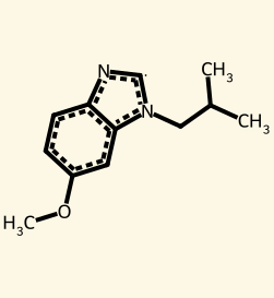 COc1ccc2n[c]n(CC(C)C)c2c1